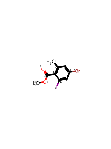 COC(=O)c1c(C)cc(Br)cc1I